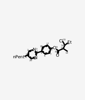 CCCCCc1cnc(-c2ccc(OC(=O)C(C)C(Cl)CC)cc2)nc1